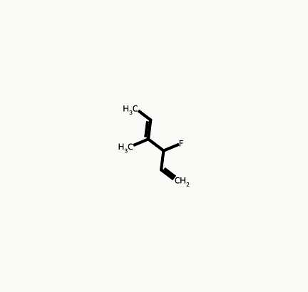 C=CC(F)/C(C)=C/C